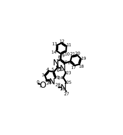 COc1ccc(-c2nc(-c3ccccc3)c(-c3ccccc3)n2CCCN(C)C)cn1